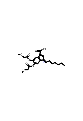 CCCCCC/C=C1\C=C(C(=O)O)c2cc(OC(=O)COC)c(OC(=O)COC)cc21